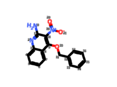 Nc1nc2ccccc2c(OCc2ccccc2)c1[N+](=O)[O-]